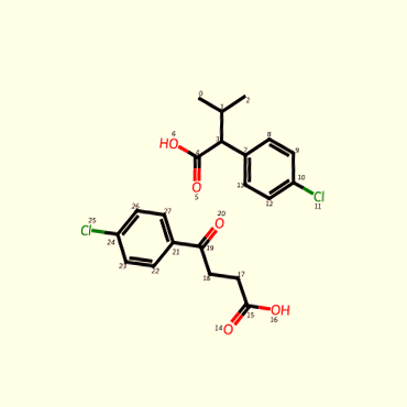 CC(C)C(C(=O)O)c1ccc(Cl)cc1.O=C(O)CCC(=O)c1ccc(Cl)cc1